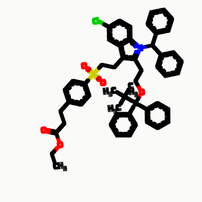 CCOC(=O)CCc1ccc(S(=O)(=O)CCc2c(CCO[Si](c3ccccc3)(c3ccccc3)C(C)(C)C)n(C(c3ccccc3)c3ccccc3)c3ccc(Cl)cc23)cc1